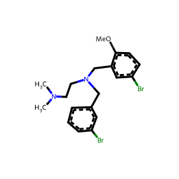 COc1ccc(Br)cc1CN(CCN(C)C)Cc1cccc(Br)c1